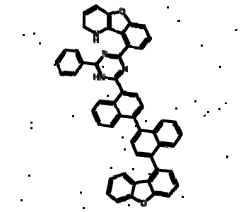 C1=Cc2oc3cccc(C4=NC(c5ccccc5)NC(c5ccc(-c6ccc(-c7cccc8oc9ccccc9c78)c7ccccc67)c6ccccc56)=N4)c3c2NC1